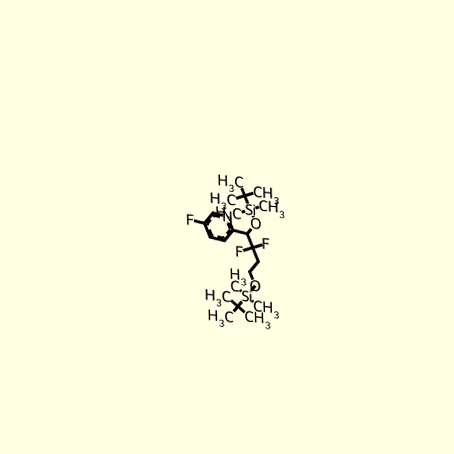 CC(C)(C)[Si](C)(C)OCCC(F)(F)C(O[Si](C)(C)C(C)(C)C)c1ccc(F)cn1